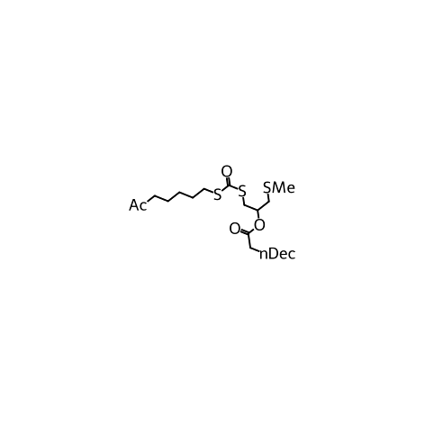 CCCCCCCCCCCC(=O)OC(CSC)CSC(=O)SCCCCCC(C)=O